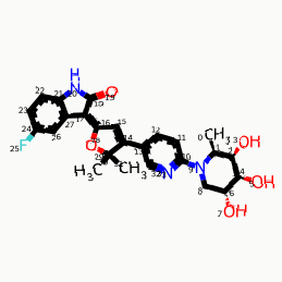 C[C@H]1[C@@H](O)[C@@H](O)[C@H](O)CN1c1ccc(C2=C/C(=C3\C(=O)Nc4ccc(F)cc43)OC2(C)C)cn1